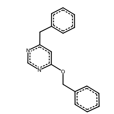 c1ccc(COc2cc(Cc3ccccc3)ncn2)cc1